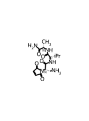 CC(C)[C@H](NC(=O)[C@H](CN)N1C(=O)C=CC1=O)C(=O)N[C@@H](C)C(N)=O